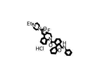 CCN1CCN(C(=O)C=C2c3ccccc3N(C(=O)c3cccc(C(=O)Nc4ccccc4)c3-c3ccccc3)CCC2(F)F)CC1.Cl